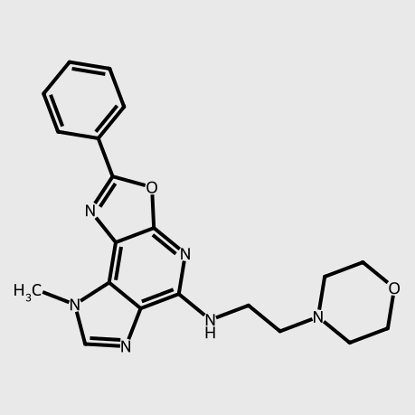 Cn1cnc2c(NCCN3CCOCC3)nc3oc(-c4ccccc4)nc3c21